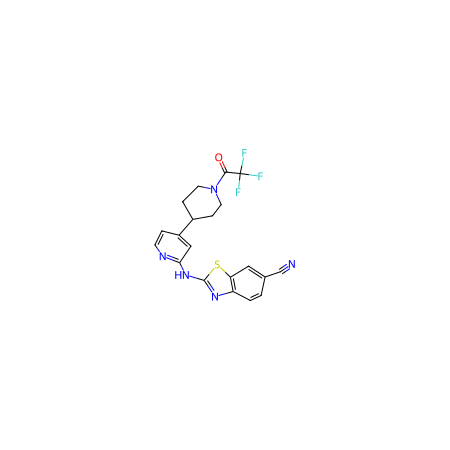 N#Cc1ccc2nc(Nc3cc(C4CCN(C(=O)C(F)(F)F)CC4)ccn3)sc2c1